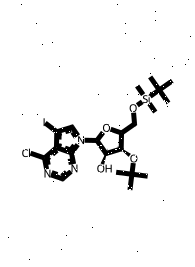 CC(C)(C)O[C@@H]1C(CO[Si](C)(C)C(C)(C)C)OC(n2cc(I)c3c(Cl)ncnc32)[C@@H]1O